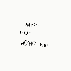 [Mn+2].[Na+].[OH-].[OH-].[OH-]